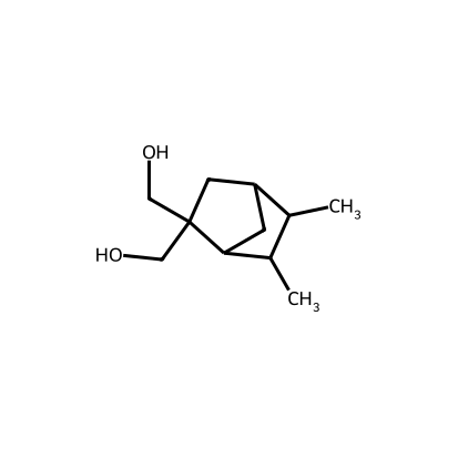 CC1C2CC(C1C)C(CO)(CO)C2